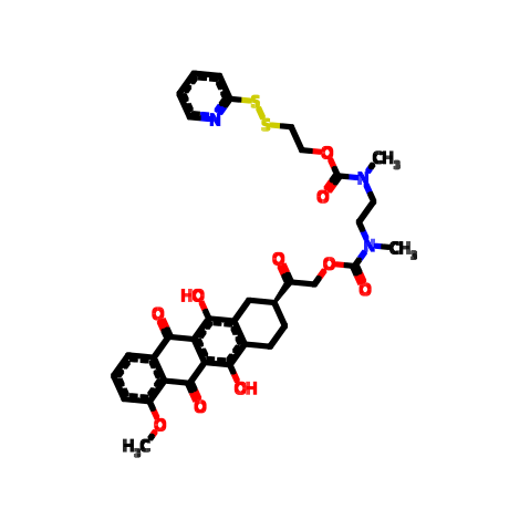 COc1cccc2c1C(=O)c1c(O)c3c(c(O)c1C2=O)C[C@@H](C(=O)COC(=O)N(C)CCN(C)C(=O)OCCSSc1ccccn1)CC3